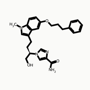 Cn1cc(CC[C@H](CO)n2cnc(C(N)=O)c2)c2cc(OCCCc3ccccc3)ccc21